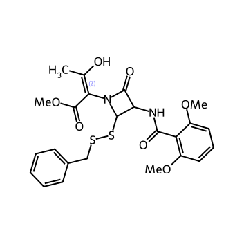 COC(=O)/C(=C(\C)O)N1C(=O)C(NC(=O)c2c(OC)cccc2OC)C1SSCc1ccccc1